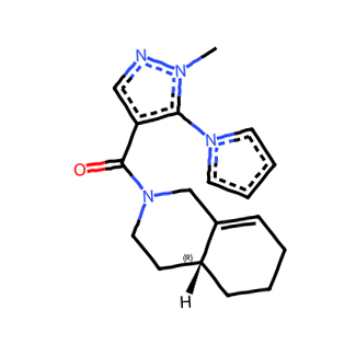 Cn1ncc(C(=O)N2CC[C@H]3CCCC=C3C2)c1-n1cccc1